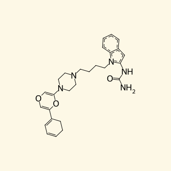 NC(=O)Nc1cc2ccccc2n1CCCCN1CCN(C2=COC=C(C3=CC=CCC3)O2)CC1